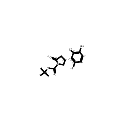 CC(C)(C)OC(=O)N1C[C@@H](c2c(F)ccc(F)c2F)CC1=O